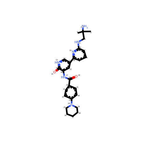 CC(C)(N)CNc1cccc(-c2c[nH]c(=O)c(NC(=O)c3ccc(N4CCCCC4)cc3)c2)n1